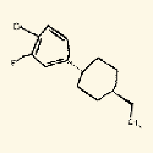 CC[C@H]1CC[C@H](c2ccc(Cl)c(F)c2)CC1